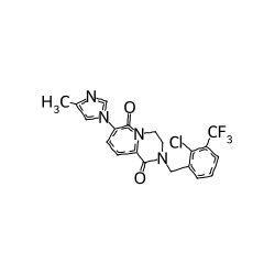 Cc1cn(-c2ccc3n(c2=O)CCN(Cc2cccc(C(F)(F)F)c2Cl)C3=O)cn1